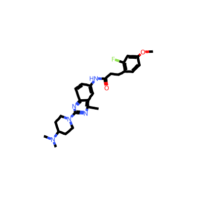 COc1ccc(CCC(=O)Nc2ccc3nc(N4CCC(N(C)C)CC4)nc(C)c3c2)c(F)c1